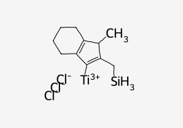 CC1C(C[SiH3])=[C]([Ti+3])C2=C1CCCC2.[Cl-].[Cl-].[Cl-]